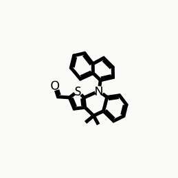 CC1(C)c2ccccc2N(c2cccc3ccccc23)c2sc(C=O)cc21